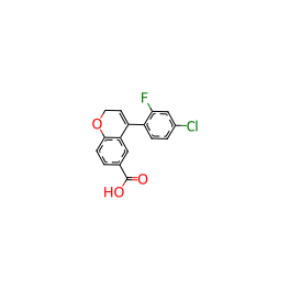 O=C(O)c1ccc2c(c1)C(c1ccc(Cl)cc1F)=CCO2